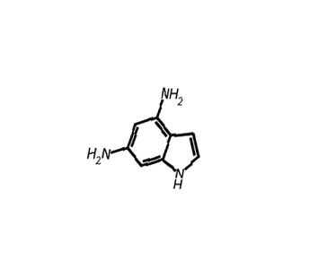 Nc1cc(N)c2cc[nH]c2c1